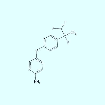 Nc1ccc(Oc2ccc(C(F)(C(F)F)C(F)(F)F)cc2)cc1